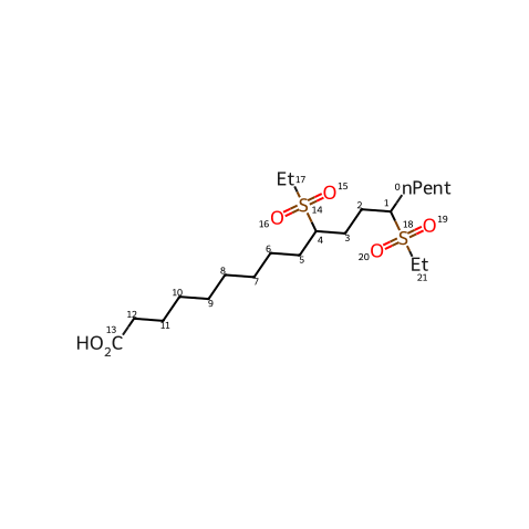 CCCCCC(CCC(CCCCCCCCC(=O)O)S(=O)(=O)CC)S(=O)(=O)CC